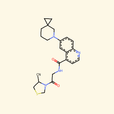 N#CC1CSCN1C(=O)CNC(=O)c1ccnc2ccc(N3CCCC4(CC4)C3)cc12